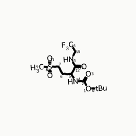 CC(C)(C)OC(=O)NC(CCS(C)(=O)=O)C(=O)NCC(F)(F)F